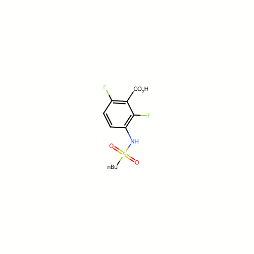 CCCCS(=O)(=O)Nc1ccc(F)c(C(=O)O)c1F